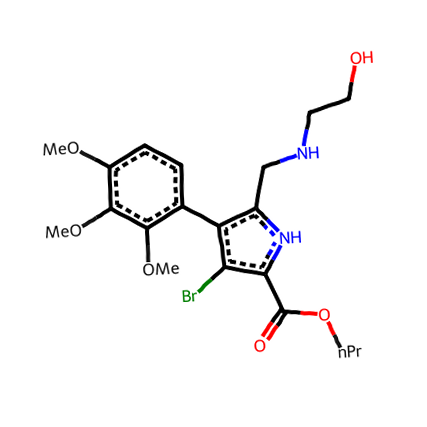 CCCOC(=O)c1[nH]c(CNCCO)c(-c2ccc(OC)c(OC)c2OC)c1Br